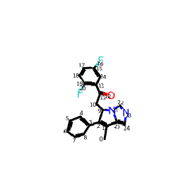 CC1=C(c2ccccc2)C(CC(=O)c2cc(F)ccc2F)n2cncc21